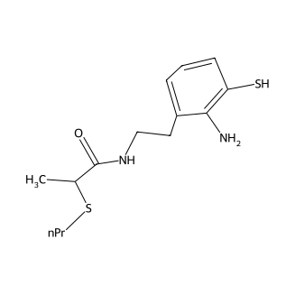 CCCSC(C)C(=O)NCCc1cccc(S)c1N